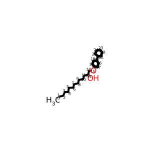 CCCCCCCCCCCCC(O)COc1ccc(-c2[c]cccc2)cc1